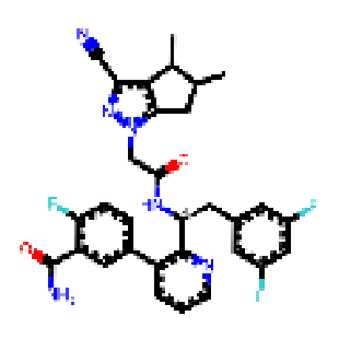 CC1Cc2c(c(C#N)nn2CC(=O)N[C@@H](Cc2cc(F)cc(F)c2)c2ncccc2-c2ccc(F)c(C(N)=O)c2)C1C